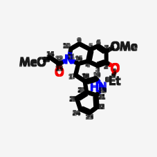 CCOc1cc2c(cc1OC)CCN(C(=O)COC)C2Cc1c[nH]c2ccccc12